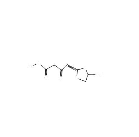 CC(C)OC(=O)CC(=O)/C=C1\SCC(O)S1